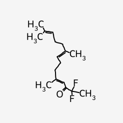 CC(C)=CCCC(C)=CCCC(C)=CC(=O)C(C)(F)F